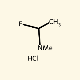 CNC(C)F.Cl